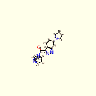 O=C(c1n[nH]c2cc(N3CCCC3)ccc12)N1CCN2CCC1CC2